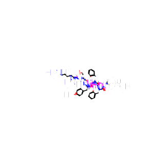 CCCC[C@H](NC(=O)[C@@H](Cc1ccccc1)NC(=O)[C@@H](Cc1ccccc1)NC(=O)[C@@H](Cc1ccc(O)cc1)NC(=O)[C@@H](CC(=O)O)NC(=O)[C@H](N)CCCCN)C(=O)O